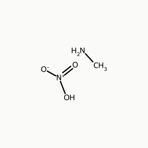 CN.O=[N+]([O-])O